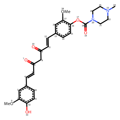 COc1cc(C=CC(=O)CC(=O)C=Cc2ccc(OC(=O)N3CCN(C)CC3)c(OC)c2)ccc1O